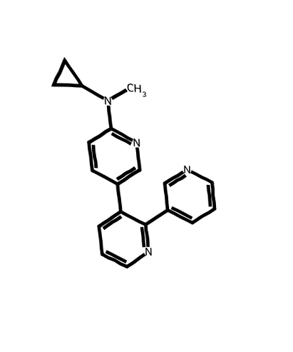 CN(c1ccc(-c2cccnc2-c2cccnc2)cn1)C1CC1